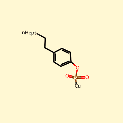 CCCCCCCCCc1ccc(O[S](=O)(=O)[Cu])cc1